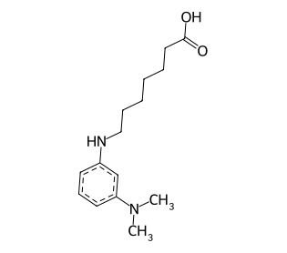 CN(C)c1cccc(NCCCCCCC(=O)O)c1